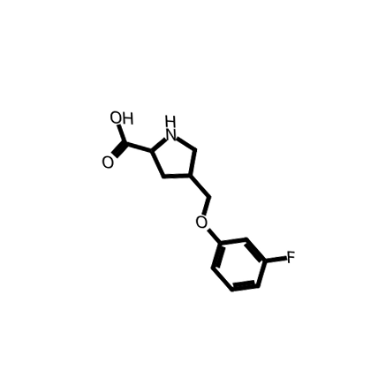 O=C(O)C1CC(COc2cccc(F)c2)CN1